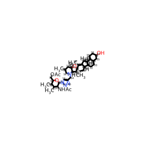 CC(=O)N[C@H]1C(C)[C@@H](C)C(COC(C)=O)O[C@H]1n1cc(CN2C[C@@H](C)C[C@H]3O[C@]4(CC[C@@H]5C(=C4C)C[C@H]4[C@H]5CC=C5C[C@@H](O)CC[C@@]54C)[C@H](C)[C@@H]32)nn1